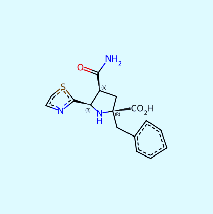 NC(=O)[C@H]1C[C@@](Cc2ccccc2)(C(=O)O)N[C@H]1c1nccs1